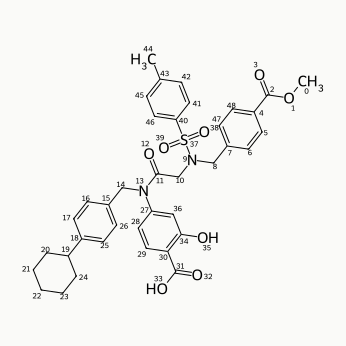 COC(=O)c1ccc(CN(CC(=O)N(Cc2ccc(C3CCCCC3)cc2)c2ccc(C(=O)O)c(O)c2)S(=O)(=O)c2ccc(C)cc2)cc1